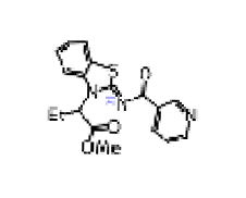 CCC(C(=O)OC)n1/c(=N/C(=O)c2cccnc2)sc2ccccc21